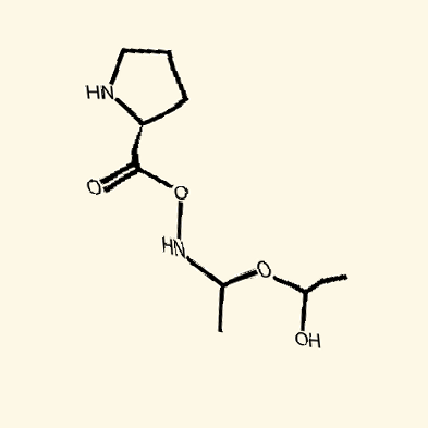 CC(O)OC(C)NOC(=O)[C@@H]1CCCN1